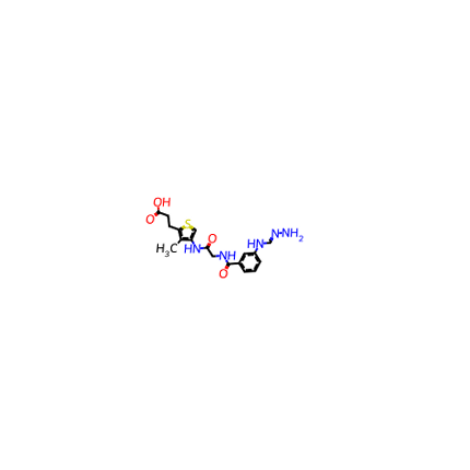 Cc1c(NC(=O)CNC(=O)c2cccc(NC=NN)c2)csc1CCC(=O)O